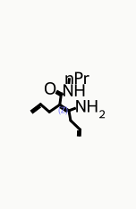 C=CC/C(N)=C(\CC=C)C(=O)NCCC